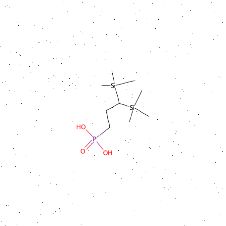 C[Si](C)(C)C(CCP(=O)(O)O)[Si](C)(C)C